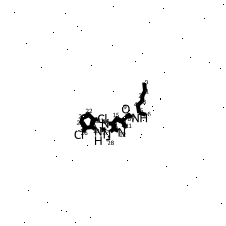 CCCCCC(C)NC(=O)c1cnc2c(c1)nc(Nc1c(Cl)cccc1Cl)n2C